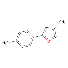 Cc1ccc(-c2cc(C)co2)cc1